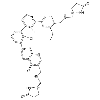 COc1cc(-c2nccc(-c3cccc(-c4ccn5c(=O)c(CNC[C@H]6CCC(=O)N6)cnc5c4)c3Cl)c2Cl)ccc1CNC[C@@H]1CCC(=O)N1